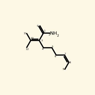 C=C(N)C(CCC/C=C\C)=C(C)C